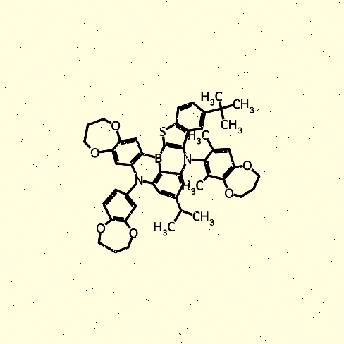 Cc1cc2c(c(C)c1N1c3cc(C(C)C)cc4c3B(c3cc5c(cc3N4c3ccc4c(c3)OCCCO4)OCCCO5)c3sc4ccc(C(C)(C)C)cc4c31)OCCCO2